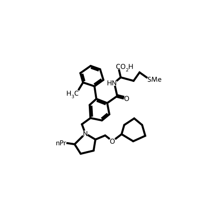 CCCC1CCC(COC2CCCCC2)N1Cc1ccc(C(=O)NC(CCSC)C(=O)O)c(-c2ccccc2C)c1